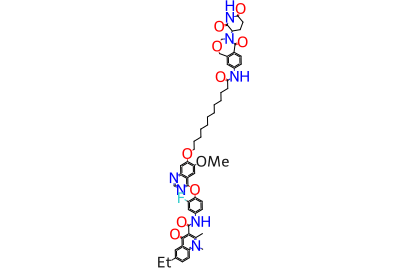 CCc1ccc2c(c1)c(=O)c(C(=O)Nc1ccc(Oc3ncnc4cc(OCCCCCCCCCCCC(=O)Nc5ccc6c(c5)COCN(C5CCC(=O)NC5=O)C6=O)c(OC)cc34)c(F)c1)c(C)n2C